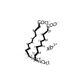 CCCCCCCC/C=C\CCCCCCCC(=O)[O-].CCCCCCCC/C=C\CCCCCCCC(=O)[O-].[Yb+2]